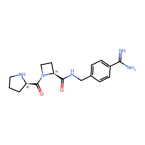 N=C(N)c1ccc(CNC(=O)[C@@H]2CCN2C(=O)[C@H]2CCCN2)cc1